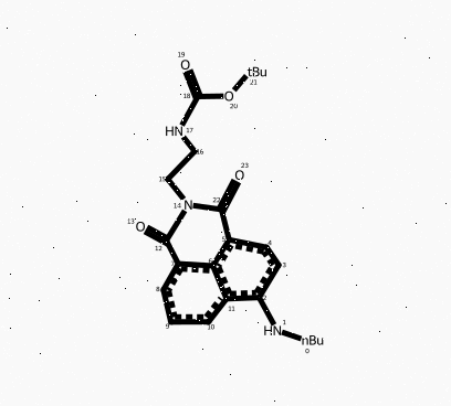 CCCCNc1ccc2c3c(cccc13)C(=O)N(CCNC(=O)OC(C)(C)C)C2=O